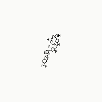 CCC1(Cn2c(Cc3cc(F)c(-c4ccnc(OCc5ccc(C(F)F)cc5F)n4)cc3F)nc3ccc(C(=O)O)cc32)CC1